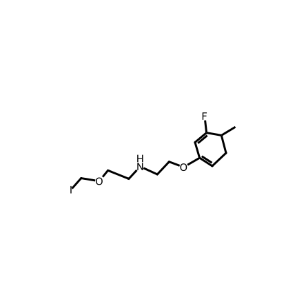 CC1CC=C(OCCNCCOCI)C=C1F